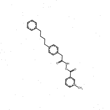 C[n+]1cccc(C(=O)ONC(=O)Cc2ccc(CCCCc3ccccc3)cc2)c1